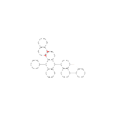 c1ccc2c(c1)Sc1ccc(-c3c4ccccc4c(-c4ccccc4-c4ccc5ccccc5c4)c4ccccc34)c3cccc-2c13